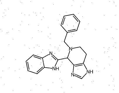 c1ccc(CN2CCc3[nH]cnc3C2c2nc3ccccc3[nH]2)cc1